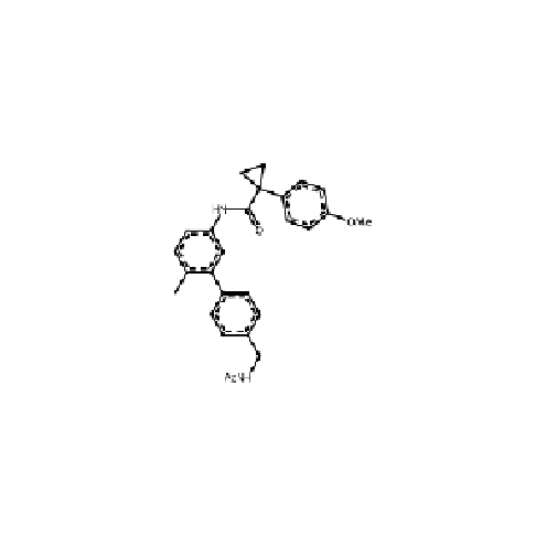 COc1ccc(C2(C(=O)Nc3ccc(C)c(-c4ccc(CNC(C)=O)cc4)c3)CC2)cc1